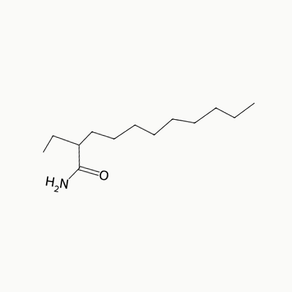 CCCCCCCCCC(CC)C(N)=O